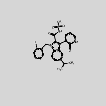 CC(C)c1ccc2c(c1)c(-c1ccc[nH]c1=O)c(C(=O)NS(C)(=O)=O)n2Cc1ccccc1F